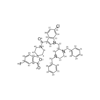 O=C1OC2(CCN(C(=O)c3cn(CC4CN(Cc5ccccc5)CCN4Cc4ccccc4)c4cc(Cl)ccc34)CC2)c2ccc(F)cc21